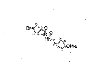 COc1ccc(CCNC(=O)NC(=O)c2ccc(Br)cc2)cc1